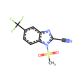 CS(=O)(=O)n1c(C#N)nc2cc(C(F)(F)F)ccc21